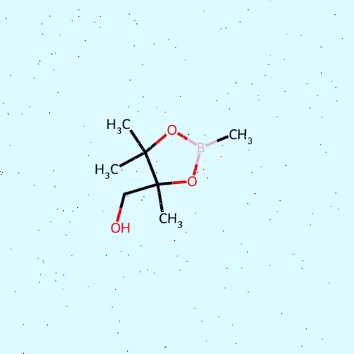 CB1OC(C)(C)C(C)(CO)O1